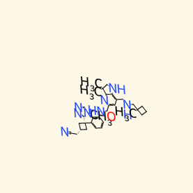 Cn1cnnc1[C@]1(c2cccc(NC(=O)c3cc(CNCC4(C)CCC4)c4c(n3)C(C)(C)CN4)c2)C[C@H](CC#N)C1